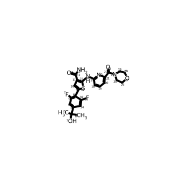 CC(C)(O)c1cc(F)c(-c2cc(C(N)=O)c(Nc3cccc(C(=O)N4CCOCC4)n3)s2)c(F)c1